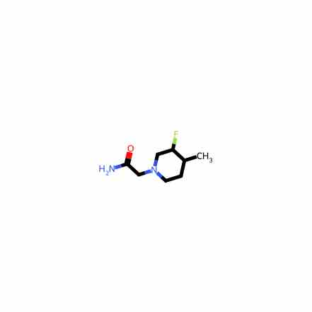 CC1CCN(CC(N)=O)CC1F